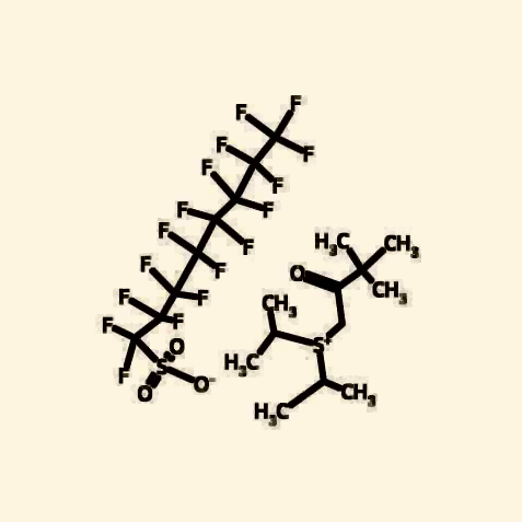 CC(C)[S+](CC(=O)C(C)(C)C)C(C)C.O=S(=O)([O-])C(F)(F)C(F)(F)C(F)(F)C(F)(F)C(F)(F)C(F)(F)C(F)(F)C(F)(F)F